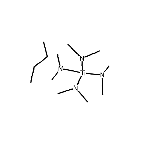 CCCC.C[N](C)[Ti]([N](C)C)([N](C)C)[N](C)C